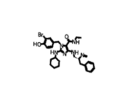 C=N[C@@H](CNc1nc(NC2CCCCC2)n(Cc2ccc(O)c(Br)c2)c1C(=O)NCC)Cc1ccccc1